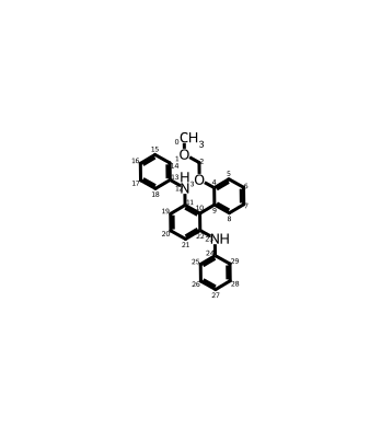 COCOc1ccccc1-c1c(Nc2ccccc2)cccc1Nc1ccccc1